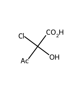 CC(=O)C(O)(Cl)C(=O)O